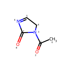 CC(=O)N1CC=NC1=O